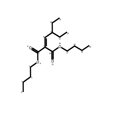 CCCCOC(=O)C(=CC(CC)CC)C(=O)OCCCC